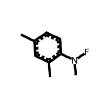 Cc1ccc(N(C)F)c(C)c1